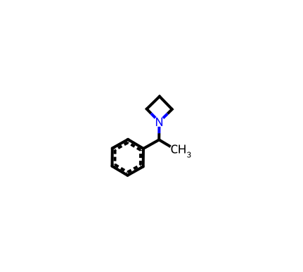 CC(c1ccccc1)N1CCC1